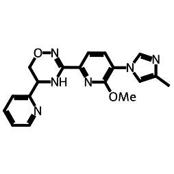 COc1nc(C2=NOCC(c3ccccn3)N2)ccc1-n1cnc(C)c1